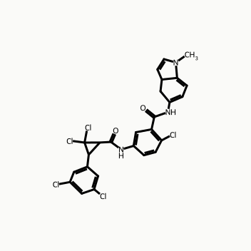 CN1C=CC2CC(NC(=O)c3cc(NC(=O)C4C(c5cc(Cl)cc(Cl)c5)C4(Cl)Cl)ccc3Cl)=CC=C21